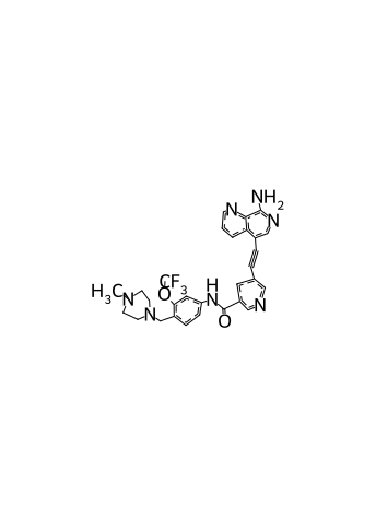 CN1CCN(Cc2ccc(NC(=O)c3cncc(C#Cc4cnc(N)c5ncccc45)c3)cc2OC(F)(F)F)CC1